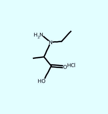 CCN(N)C(C)C(=O)O.Cl